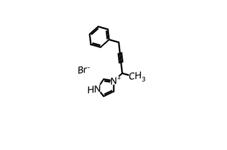 CC(C#CCc1ccccc1)[n+]1cc[nH]c1.[Br-]